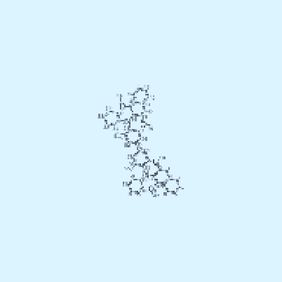 COc1cc2ccccc2c(OC)c1N(c1ccccc1)c1ccc(-c2ccc(N(c3ccccc3)c3c(OC)cc4ccccc4c3OC)c(C)c2)cc1C